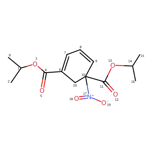 CC(C)OC(=O)C1=CC=CC(C(=O)OC(C)C)([N+](=O)[O-])C1